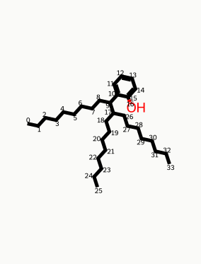 CCCCCCCCCC(c1ccccc1O)C(CCCCCCCC)CCCCCCCC